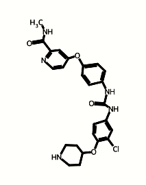 CNC(=O)c1cc(Oc2ccc(NC(=O)Nc3ccc(OC4CCNCC4)c(Cl)c3)cc2)ccn1